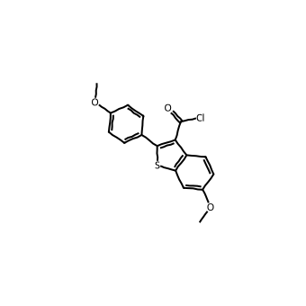 COc1ccc(-c2sc3cc(OC)ccc3c2C(=O)Cl)cc1